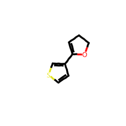 C1=C(c2ccsc2)OCC1